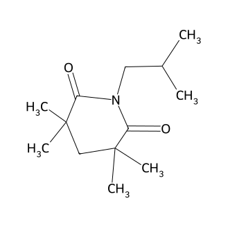 CC(C)CN1C(=O)C(C)(C)CC(C)(C)C1=O